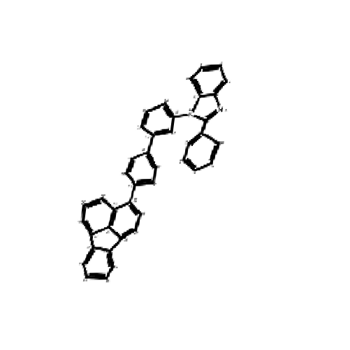 c1ccc(-c2nc3ccccc3n2-c2cccc(-c3ccc(-c4ccc5c6c(cccc46)-c4ccccc4-5)cc3)c2)cc1